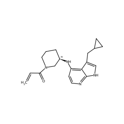 C=CC(=O)N1CCC[C@@H](Nc2ccnc3[nH]cc(CC4CC4)c23)C1